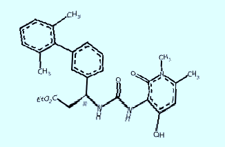 CCOC(=O)C[C@H](NC(=O)Nc1c(O)cc(C)n(C)c1=O)c1cccc(-c2c(C)cccc2C)c1